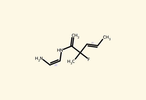 C=C(N/C=C\N)C(C)(F)/C=C/C